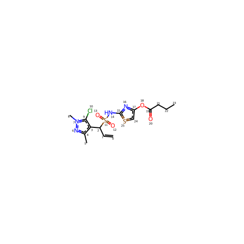 C=CC(c1c(C)nn(C)c1Cl)S(=O)(=O)Nc1nc(OC(=O)CCC)cs1